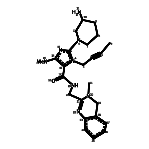 CC#CCn1c(N2CCCC(N)C2)nc(NC)c1C(=O)NCC1=Nc2ccccc2CN1C